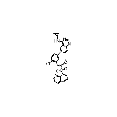 O=S(=O)(c1cccc2cccnc12)N(Cc1cc(-c2ccc3ncnc(NC4CC4)c3c2)ccc1Cl)C1CC1